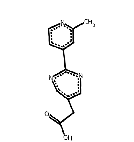 Cc1cc(-c2ncc(CC(=O)O)cn2)ccn1